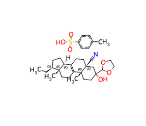 CC[C@H]1CC[C@H]2C3=C(CC[C@]12C)[C@@]1(C)CCC(O)(C2OCCO2)C[C@@]1(C#N)CC3.Cc1ccc(S(=O)(=O)O)cc1